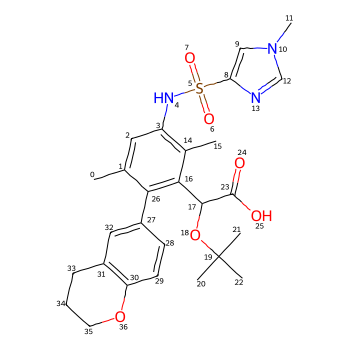 Cc1cc(NS(=O)(=O)c2cn(C)cn2)c(C)c(C(OC(C)(C)C)C(=O)O)c1-c1ccc2c(c1)CCCO2